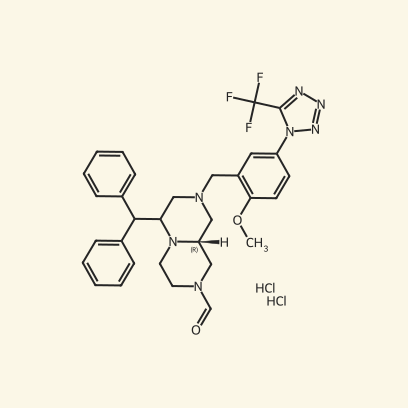 COc1ccc(-n2nnnc2C(F)(F)F)cc1CN1CC(C(c2ccccc2)c2ccccc2)N2CCN(C=O)C[C@H]2C1.Cl.Cl